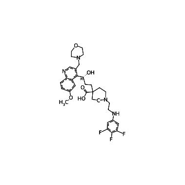 COc1ccc2ncc(CN3CCOCC3)c([C@H](O)CCC3(C(=O)O)CCN(CCNc4cc(F)c(F)c(F)c4)CC3)c2c1